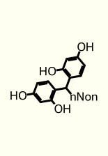 CCCCCCCCCC(c1ccc(O)cc1O)c1ccc(O)cc1O